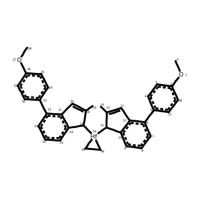 COc1ccc(-c2cccc3c2C=C(C)[CH]3[Hf]2([CH]3C(C)=Cc4c(-c5ccc(OC)cc5)cccc43)[CH2][CH2]2)cc1